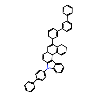 C1=CC2=C(CC1)C(C1C=C(c3cccc(-c4ccccc4)c3)C=CC1)=CC1C=Cc3c(c4ccccc4n3-c3ccc(-c4ccccc4)cc3)C21